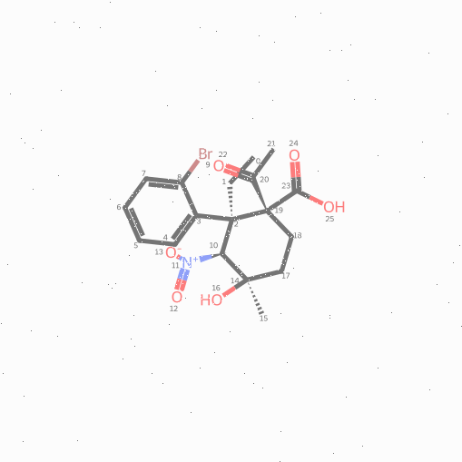 CC[C@@]1(c2ccccc2Br)[C@H]([N+](=O)[O-])[C@](C)(O)CC[C@@]1(C(C)=O)C(=O)O